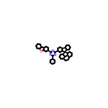 c1ccc(-c2nc(-c3ccc4c(c3)C3(c5ccccc5-4)c4cccc5ccc6cccc3c6c45)nc(-c3ccc4c(c3)oc3ccccc34)n2)cc1